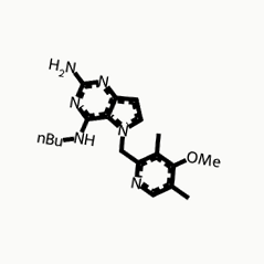 CCCCNc1nc(N)nc2ccn(Cc3ncc(C)c(OC)c3C)c12